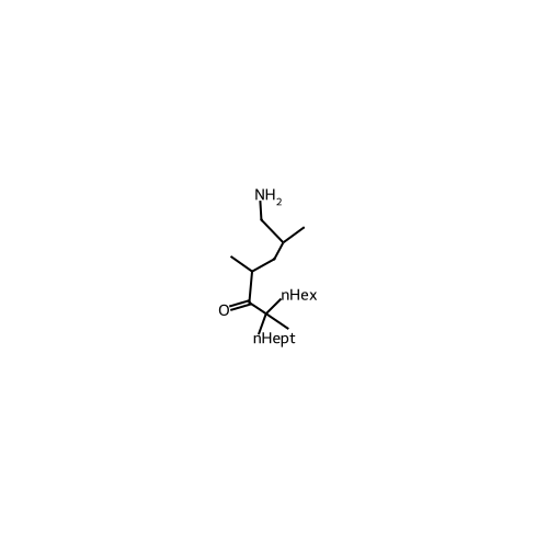 CCCCCCCC(C)(CCCCCC)C(=O)C(C)CC(C)CN